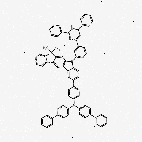 CC1(C)c2ccccc2-c2cc3c4cc(-c5ccc(N(c6ccc(-c7ccccc7)cc6)c6ccc(-c7ccccc7)cc6)cc5)ccc4n(-c4cccc(C5=NC(c6ccccc6)NC(c6ccccc6)=N5)c4)c3cc21